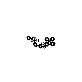 N=C(OC(=N)c1cccc(-c2ccc3c(c2)Oc2cc4c(cc2O3)-c2ccccc2C4(c2ccccc2)c2ccccc2)c1)c1ccccc1